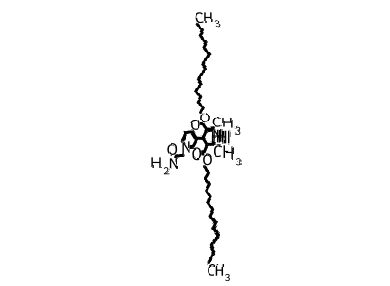 CCCCCCCCCCCCCCCCOC(=O)C1=C(C)N=C(C)C(C(=O)OCCCCCCCCCCCCCCCC)C1C1=CC=CN(CC(N)=O)C1.I.I